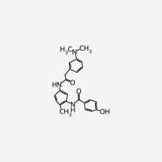 Cc1ccc(NC(=O)Cc2cccc(N(C)C)c2)cc1NC(=O)c1ccc(O)cc1